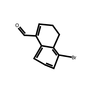 O=CC1=CCCc2c(Br)cccc21